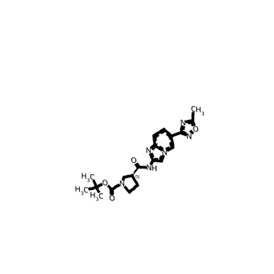 Cc1nc(-c2ccc3nc(NC(=O)[C@H]4CCN(C(=O)OC(C)(C)C)C4)cn3c2)no1